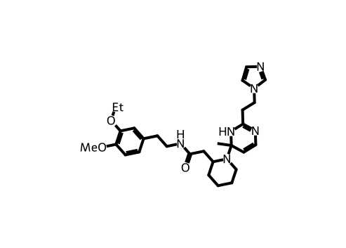 CCOc1cc(CCNC(=O)CC2CCCCN2C2(C)C=CN=C(CCn3ccnc3)N2)ccc1OC